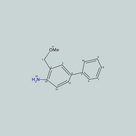 COCc1cc(-c2ccccc2)ccc1N